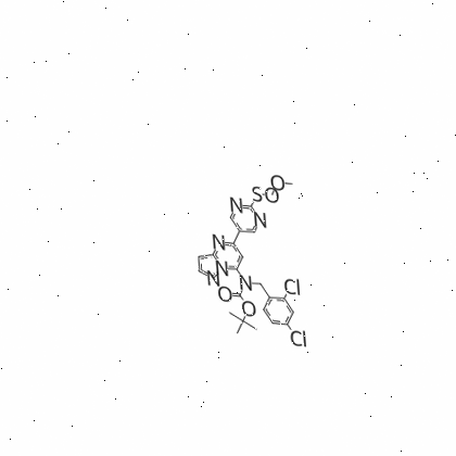 COOSc1ncc(-c2cc(N(Cc3ccc(Cl)cc3Cl)C(=O)OC(C)(C)C)n3nccc3n2)cn1